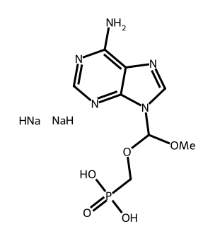 COC(OCP(=O)(O)O)n1cnc2c(N)ncnc21.[NaH].[NaH]